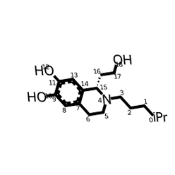 CC(C)CCCN1CCc2cc(O)c(O)cc2[C@@H]1CCO